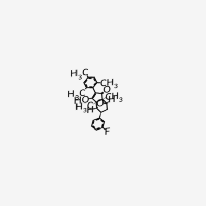 Cc1cc(C)c(C2=C(O)[C@]3(C)[C@@H]4O[C@@H](C[C@H]4c4cccc(F)c4)[C@]3(C)C2=O)c(C)c1